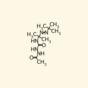 CC(=O)NNC(=O)NC(C)(C)N=NC(C)(C)C